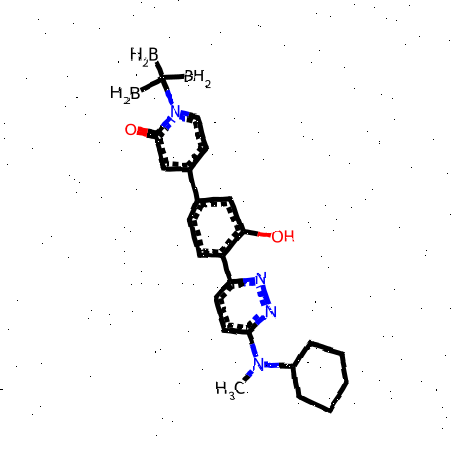 BC(B)(B)n1ccc(-c2ccc(-c3ccc(N(C)C4CCCCC4)nn3)c(O)c2)cc1=O